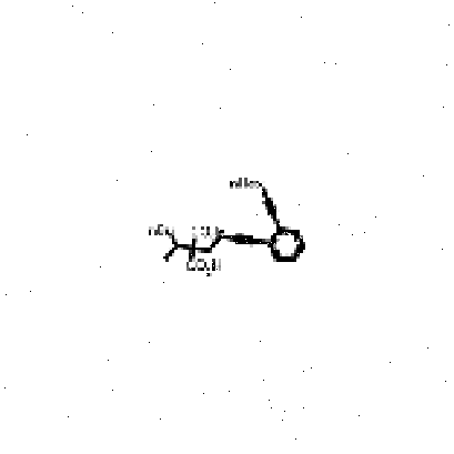 CCCCCCC#Cc1ccccc1C#CCCC(C(=O)O)(C(=O)O)C(C)CCCC